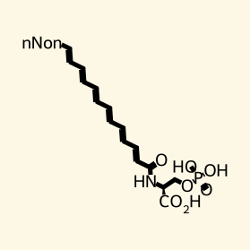 CCCCCCCCCC=CC=CC=CC=CC=CC=CC(=O)N[C@@H](COP(=O)(O)O)C(=O)O